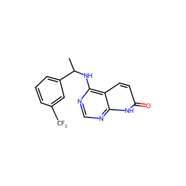 CC(Nc1ncnc2[nH]c(=O)ccc12)c1cccc(C(F)(F)F)c1